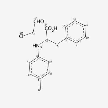 Cc1ccc(NC(Cc2ccccc2)C(=O)O)cc1.O=CCCl